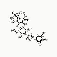 CN(CC(C)(C)F)C(=O)C(S[C@@H]1O[C@H](CO)[C@H](O)[C@H](n2cc(-c3cc(F)c(F)c(F)c3)nn2)[C@H]1O)C1(O)CCCCC1